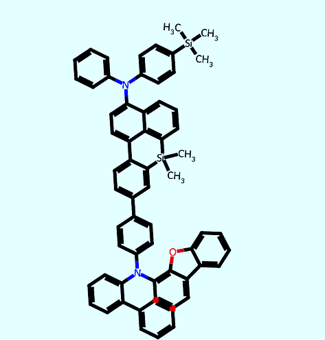 C[Si](C)(C)c1ccc(N(c2ccccc2)c2ccc3c4c(cccc24)[Si](C)(C)c2cc(-c4ccc(N(c5ccccc5-c5ccccc5)c5cccc6c5oc5ccccc56)cc4)ccc2-3)cc1